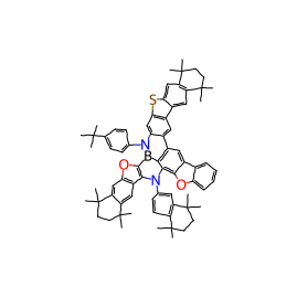 CC(C)(C)c1ccc(N2B3c4oc5cc6c(cc5c4N(c4ccc5c(c4)C(C)(C)CCC5(C)C)c4c3c(cc3c4oc4ccccc43)-c3cc4c(cc32)sc2cc3c(cc24)C(C)(C)CCC3(C)C)C(C)(C)CCC6(C)C)cc1